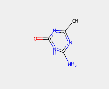 N#Cc1nc(N)[nH]c(=O)n1